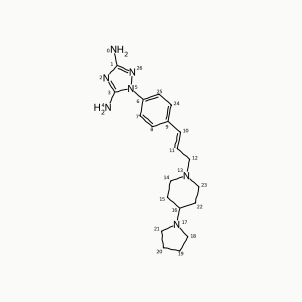 Nc1nc(N)n(-c2ccc(C=CCN3CCC(N4CCCC4)CC3)cc2)n1